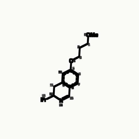 COCCCOc1ccc2c(c1)CC(C(C)C)N=C2